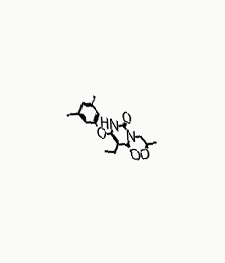 CCc1c(Oc2cc(C)cc(C)c2)[nH]c(=O)n(CC(C)=O)c1=O